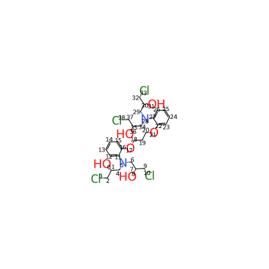 OC(CCl)CN(CC(O)CCl)c1ccccc1OCCCOc1ccccc1N(CC(O)CCl)CC(O)CCl